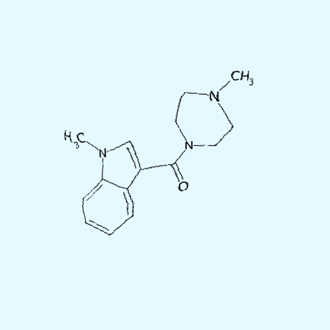 CN1CCN(C(=O)c2cn(C)c3ccccc23)CC1